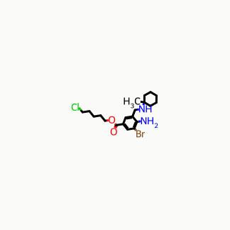 CC1(NCc2cc(C(=O)OCCCCCCl)cc(Br)c2N)CCCCC1